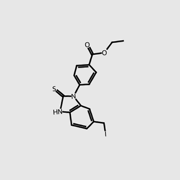 CCOC(=O)c1ccc(-n2c(=S)[nH]c3ccc(CI)cc32)cc1